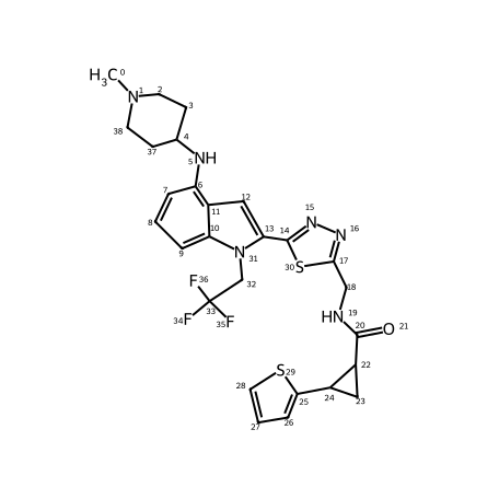 CN1CCC(Nc2cccc3c2cc(-c2nnc(CNC(=O)C4CC4c4cccs4)s2)n3CC(F)(F)F)CC1